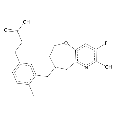 Cc1ccc(CCC(=O)O)cc1CN1CCOc2cc(F)c(O)nc2C1